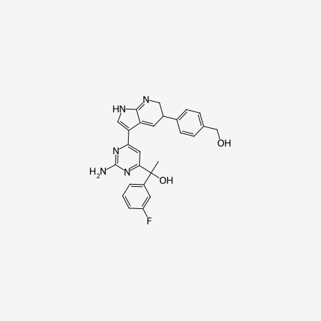 CC(O)(c1cccc(F)c1)c1cc(-c2c[nH]c3c2=CC(c2ccc(CO)cc2)CN=3)nc(N)n1